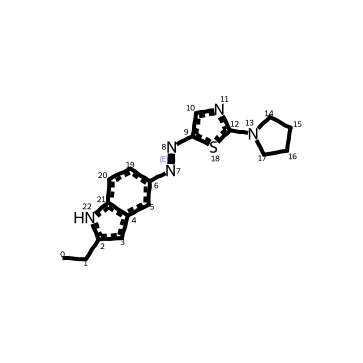 CCc1cc2cc(/N=N/c3cnc(N4CCCC4)s3)ccc2[nH]1